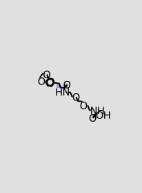 O=C(O)NCCOCCOCCNC(=O)/C=C/c1ccc2c(c1)OCCO2